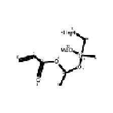 C=CC(=O)OC(C)O[Si](C)(CCCCCCCC)OC